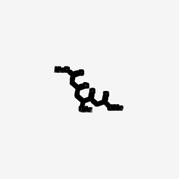 COC(=O)CC(=O)CC(OC(C)=O)C(=O)CC(=O)OC